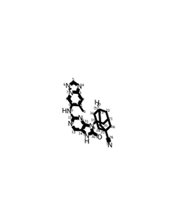 Cc1cc2ncnn2cc1Nc1ncc2[nH]c(=O)n(C34CC5C[C@@H](CC(C#N)(C5)C3)C4)c2n1